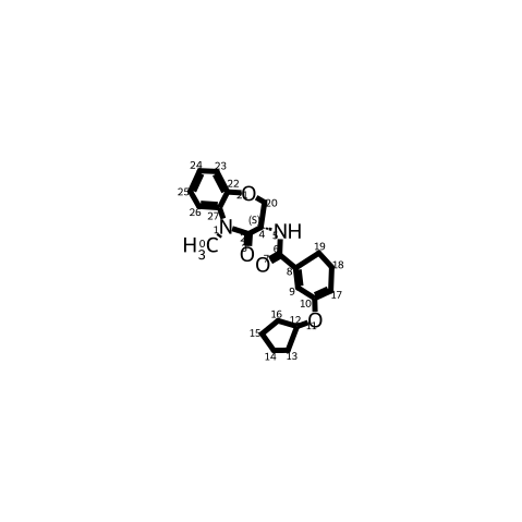 CN1C(=O)[C@@H](NC(=O)C2=CC(OC3CCCC3)=CCC2)COc2ccccc21